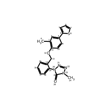 Cc1cc(-c2cccs2)ccc1OCc1ccccc1-n1nnn(C)c1=O